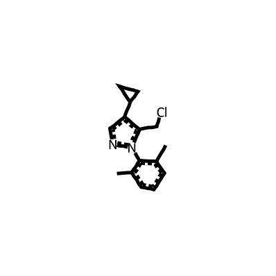 Cc1cccc(C)c1-n1ncc(C2CC2)c1CCl